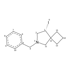 I[C@H]1CN(Cc2ccccc2)CC12CCC2